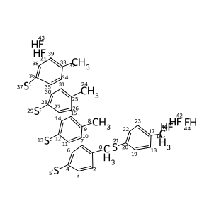 Cc1ccc([S])cc1.Cc1ccc([S])cc1.Cc1ccc([S])cc1.Cc1ccc([S])cc1.Cc1ccc([S])cc1.F.F.F.F.F